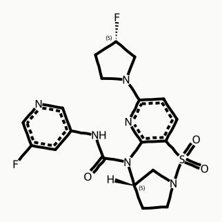 O=C(Nc1cncc(F)c1)N1c2nc(N3CC[C@H](F)C3)ccc2S(=O)(=O)N2CC[C@H]1C2